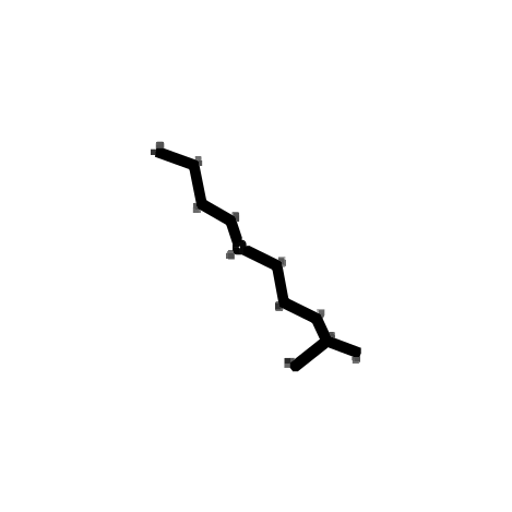 [CH2]CCCOCCCC(C)C